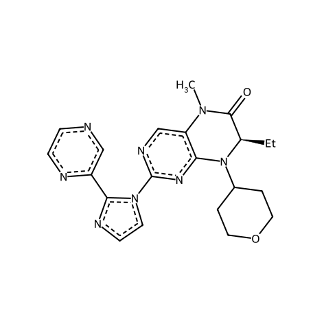 CC[C@@H]1C(=O)N(C)c2cnc(-n3ccnc3-c3cnccn3)nc2N1C1CCOCC1